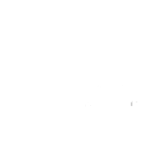 [CH2][C@H](C(=O)OC(C)C)c1cccc2ccccc12